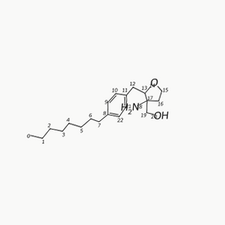 CCCCCCCCc1ccc(CC2OCCC2(N)CO)cc1